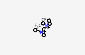 CC1(C)C(/C=C/C=C2/N(CCC3CCCCC3)c3ccccc3C2(C)C)=[N+](c2cc(C(F)(F)F)cc(C(F)(F)F)c2)c2c1ccc1ccccc21